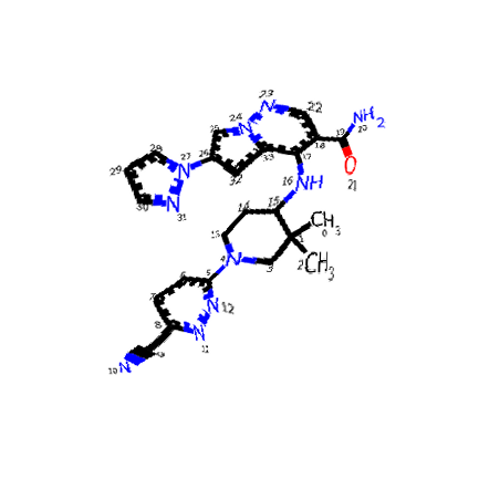 CC1(C)CN(c2ccc(C#N)nn2)CCC1Nc1c(C(N)=O)cnn2cc(-n3cccn3)cc12